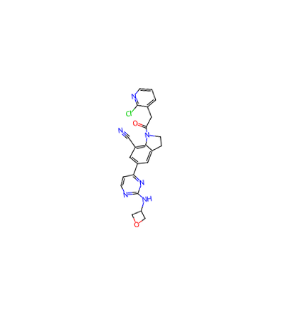 N#Cc1cc(-c2ccnc(NC3COC3)n2)cc2c1N(C(=O)Cc1cccnc1Cl)CC2